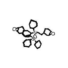 C1CCC([Si](CCC2CCC3OC3C2)(O[Si](CCC2CCC3OC3C2)(C2CCCCC2)C2CCCCC2)C2CCCCC2)CC1